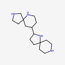 C1CC2(CCN1)CCC(C1CCNC3(CCNC3)C1)N2